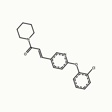 O=C(/C=C/c1ccc(Oc2ccccc2Cl)nc1)N1CCCCC1